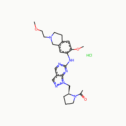 COCCN1CCc2cc(OC)c(Nc3ncc4cnn(C[C@@H]5CCCN5C(C)=O)c4n3)cc2C1.Cl